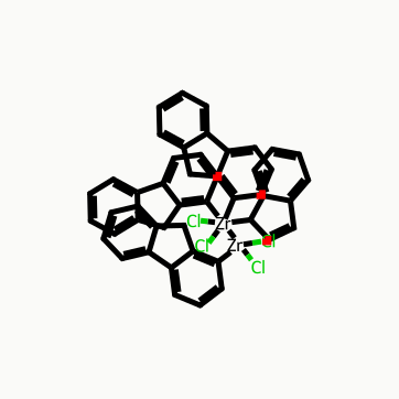 [Cl][Zr]([Cl])([c]1cccc2c1Cc1ccccc1-2)[Zr]([Cl])([Cl])([c]1cccc2c1Cc1ccccc1-2)([c]1cccc2c1Cc1ccccc1-2)[CH]1C=Cc2ccccc21